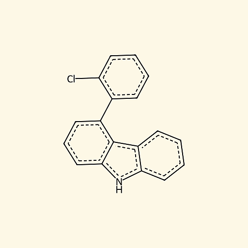 Clc1ccccc1-c1cccc2[nH]c3ccccc3c12